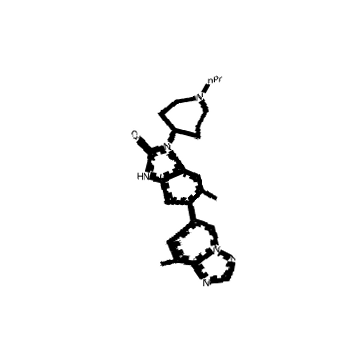 CCCN1CCC(n2c(=O)[nH]c3cc(-c4cc(C)c5ncnn5c4)c(C)cc32)CC1